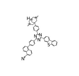 C[C@@H]1C[C@@H]2C[C@H](C)CC(c3ccc(-c4nc(-c5ccc(-c6cccc7c(C#N)cccc67)cc5)nc(-c5ccc6c(c5)sc5ccccc56)n4)cc3)(C1)C2